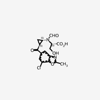 Cc1nc2cc(C(=O)[C@H]3C[C@@H]3N(C=O)[C@@H](CO)C(=O)O)cc(Cl)c2o1